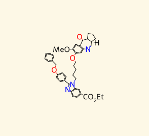 CCOC(=O)c1ccc2nc(-c3ccc(OCc4ccccc4)cc3)n(CCCCCOc3cc4c(cc3OC)C(=O)C3CCC[C@H]3C=N4)c2c1